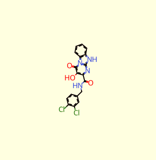 O=C(NCc1ccc(Cl)c(Cl)c1)c1nc2[nH]c3ccccc3n2c(=O)c1O